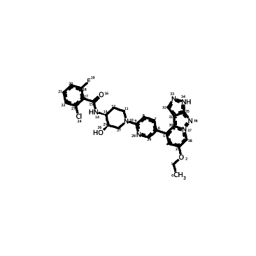 CCOc1cc(-c2ccc(N3CC[C@H](NC(=O)c4c(F)cccc4Cl)[C@H](O)C3)nc2)c2c3cn[nH]c3nn2c1